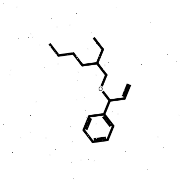 C=CC(OCC(CC)CCCC)c1ccccc1